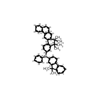 CC1(C)c2ccccc2-c2ccc(N(c3ccccc3)c3ccc4c(c3)C(C)(C)C(C)(C)c3cc5ccc6ccccc6c5cc3-4)cc21